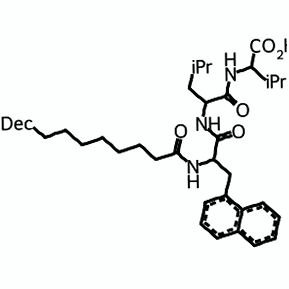 CCCCCCCCCCCCCCCCCC(=O)NC(Cc1cccc2ccccc12)C(=O)NC(CC(C)C)C(=O)NC(C(=O)O)C(C)C